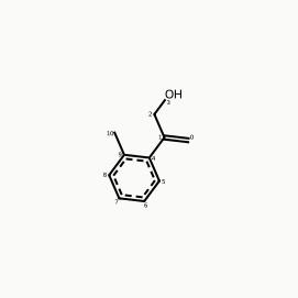 C=C(CO)c1ccccc1C